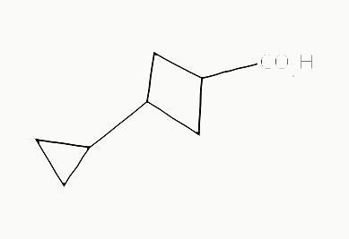 O=C(O)C1CC(C2CC2)C1